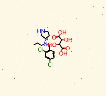 CCCN(Cc1ccc(Cl)cc1Cl)[C@H]1CCNC1.O=C(O)C(O)C(O)C(=O)O